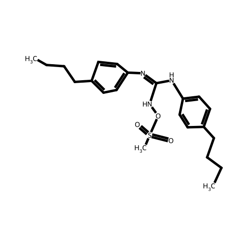 CCCCc1ccc(N=C(NOS(C)(=O)=O)Nc2ccc(CCCC)cc2)cc1